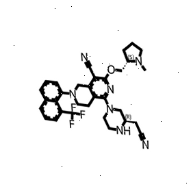 CN1CCC[C@H]1COc1nc(N2CCN[C@H](CC#N)C2)c2c(c1C#N)CN(c1cccc3cccc(C(F)(F)F)c13)CC2